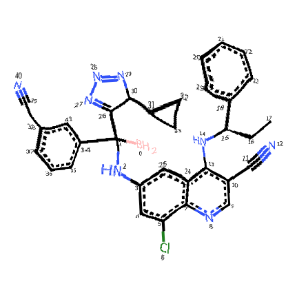 BC(Nc1cc(Cl)c2ncc(C#N)c(N[C@H](CC)c3ccccc3)c2c1)(C1=NN=NC1C1CC1)c1cccc(C#N)c1